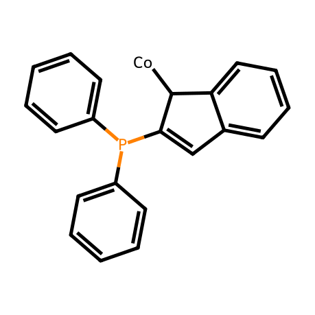 [Co][CH]1C(P(c2ccccc2)c2ccccc2)=Cc2ccccc21